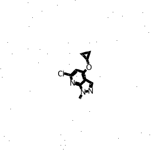 Cn1ncc2c(OC3CC3)cc(Cl)nc21